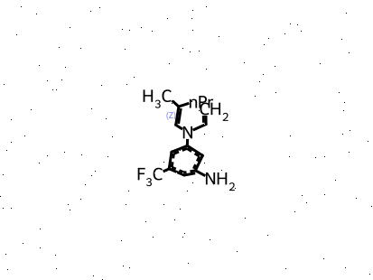 C=CN(/C=C(/C)CCC)c1cc(N)cc(C(F)(F)F)c1